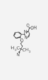 CC(C)(C#N)CCOc1ccccc1-c1nccc(C(=O)O)n1